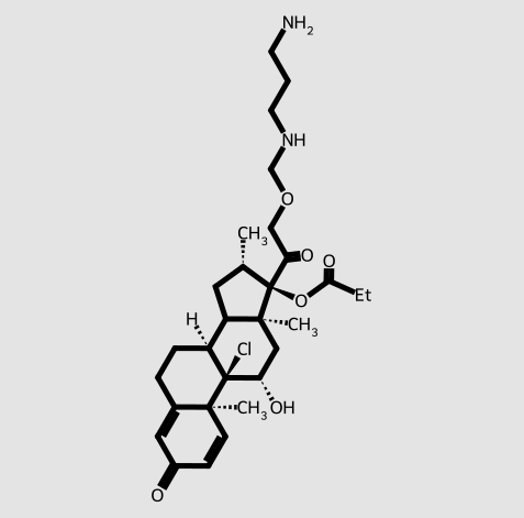 CCC(=O)O[C@]1(C(=O)COCNCCCN)[C@@H](C)CC2[C@@H]3CCC4=CC(=O)C=C[C@]4(C)[C@@]3(Cl)[C@@H](O)C[C@@]21C